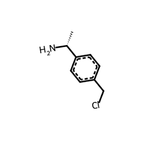 C[C@@H](N)c1ccc(CCl)cc1